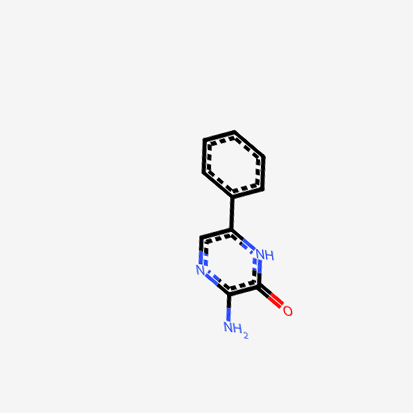 Nc1ncc(-c2ccccc2)[nH]c1=O